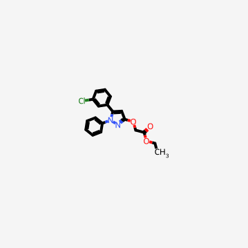 CCOC(=O)COc1cc(-c2cccc(Cl)c2)n(-c2ccccc2)n1